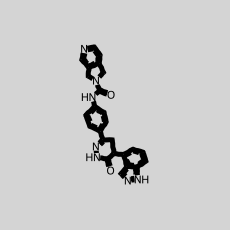 O=C1NN=C(c2ccc(NC(=O)N3Cc4ccncc4C3)cc2)CC1c1cccc2[nH]ncc12